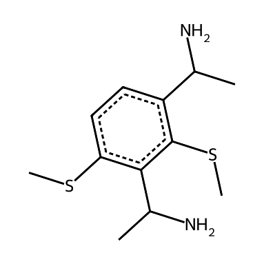 CSc1ccc(C(C)N)c(SC)c1C(C)N